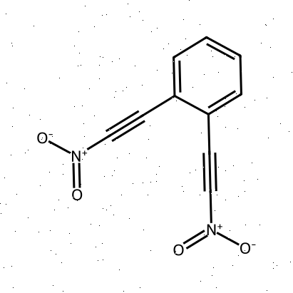 O=[N+]([O-])C#Cc1ccccc1C#C[N+](=O)[O-]